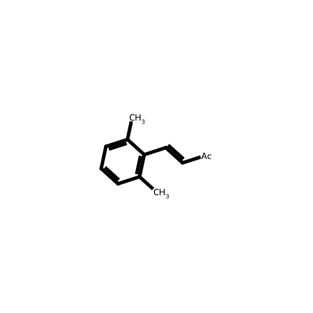 CC(=O)C=Cc1c(C)cccc1C